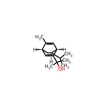 CC1=C[C@@H]2C(C(C)(C)O)=C[C@H]1C[C@@H]2C(C)C